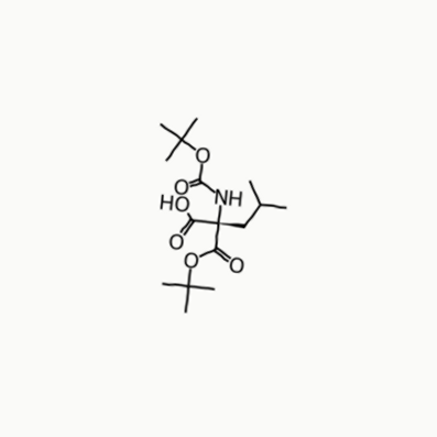 CC(C)C[C@](NC(=O)OC(C)(C)C)(C(=O)O)C(=O)OC(C)(C)C